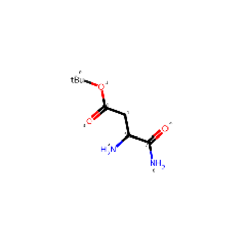 CC(C)(C)OC(=O)CC(N)C(N)=O